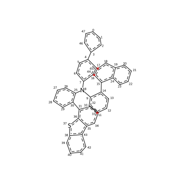 c1ccc(-c2ccc(N(c3ccccc3-c3cccc4ccccc34)c3ccccc3-c3cccc4c3sc3ccccc34)cc2)cc1